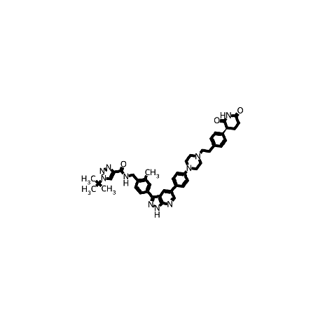 Cc1cc(-c2n[nH]c3ncc(-c4ccc(N5CCN(CCc6ccc([C@@H]7CCC(=O)NC7=O)cc6)CC5)cc4)cc23)ccc1CNC(=O)c1cn(C(C)(C)C)nn1